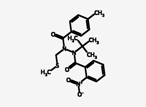 CSCN(C(=O)c1ccc(C)cc1)N(C(=O)c1ccccc1[N+](=O)[O-])C(C)(C)C